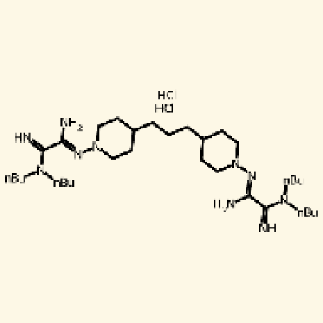 CCCCN(CCCC)C(=N)C(N)=NN1CCC(CCCC2CCN(N=C(N)C(=N)N(CCCC)CCCC)CC2)CC1.Cl.Cl